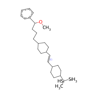 COC(CCCC1CCC(/C=C/C2CCC([SiH](C)[SiH3])CC2)CC1)c1ccccc1